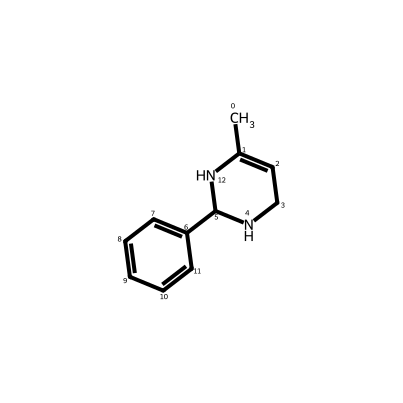 CC1=CCNC(c2ccccc2)N1